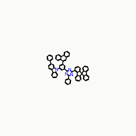 c1ccc(-c2ccc3c4ccccc4n(-c4cc(-c5nc(-c6ccccc6)nc(-c6cccc7c6-c6ccccc6C76c7ccccc7-c7ccccc76)n5)cc(-c5cc6ccccc6c6ccccc56)c4)c3c2)cc1